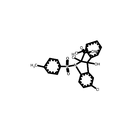 COC(=O)C1(C)N(S(=O)(=O)c2ccc(C)cc2)c2ccc(Cl)cc2C1(O)c1ccccc1Cl